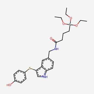 CCO[Si](CCCC(=O)NCc1ccc2[nH]cc(Sc3ccc(O)cc3)c2c1)(OCC)OCC